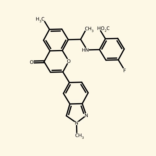 Cc1cc(C(C)Nc2cc(F)ccc2C(=O)O)c2oc(-c3ccc4nn(C)cc4c3)cc(=O)c2c1